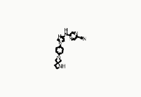 N#Cc1cnc(Nc2cn(-c3ccc(N4CC5(CCN5)C4)cc3)cn2)cn1